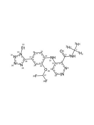 [2H]C([2H])([2H])NC(=O)c1nnccc1Nc1ccc(-c2nnnn2CC)cc1OC(F)F